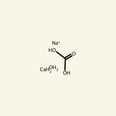 O.O=C(O)O.[CaH2].[Na+]